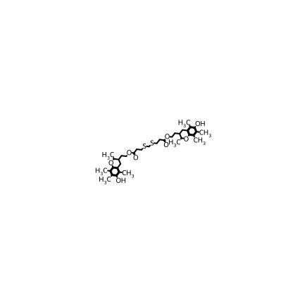 Cc1c(C)c2c(c(C)c1O)CC(CCOC(=O)CCSCSCCC(=O)OCCC1Cc3c(C)c(O)c(C)c(C)c3OC1C)C(C)O2